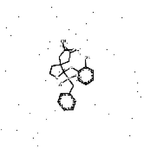 Cc1ccccc1OC1([N+](C)(C)Cc2ccccc2)OCCC1(CC(C)C)CC(C)C